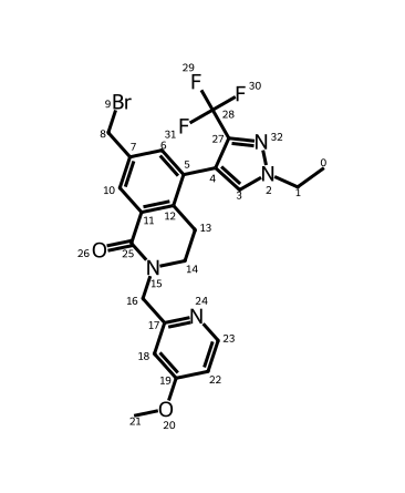 CCn1cc(-c2cc(CBr)cc3c2CCN(Cc2cc(OC)ccn2)C3=O)c(C(F)(F)F)n1